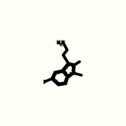 Cc1c(CCN)c2cc(I)ccc2n1C